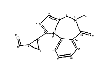 CN1Cc2cnc(C3CC3C=O)n2-c2ccccc2C1=O